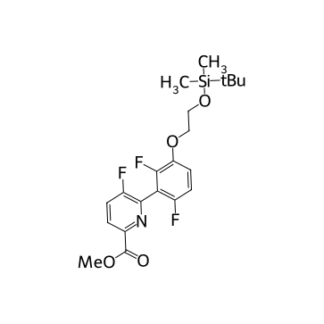 COC(=O)c1ccc(F)c(-c2c(F)ccc(OCCO[Si](C)(C)C(C)(C)C)c2F)n1